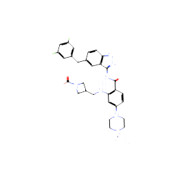 CN1CCN(c2ccc(C(=O)Nc3n[nH]c4ccc(Cc5cc(F)cc(F)c5)cc34)c(NCC3CN(C(=O)O)C3)c2)CC1